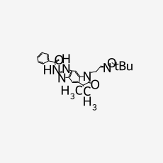 CC(C)(C)O/N=C/CCN1C(=O)C(C)(C)c2cc3nc(NC(=O)c4ccccc4)[nH]c3cc21